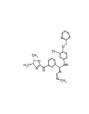 C/N=C\N=C(\Nc1ccc(OCc2ccccn2)c(Cl)c1)c1cccc(NC2=N[C@@H](C)[C@H](C)O2)c1